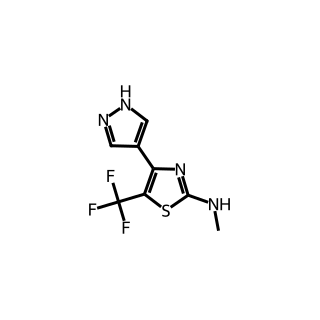 CNc1nc(-c2cn[nH]c2)c(C(F)(F)F)s1